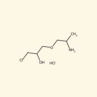 CC(N)COCC(O)CCl.Cl